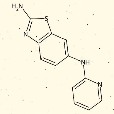 Nc1nc2ccc(Nc3ccccn3)cc2s1